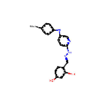 COc1ccc(Nc2ccc(N/N=C/c3ccc(O)cc3O)nc2)cc1